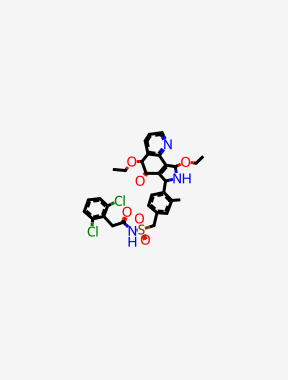 CCOC1NC(c2ccc(CS(=O)(=O)NC(=O)Cc3c(Cl)cccc3Cl)cc2C)C2=C1c1ncccc1C(OCC)C2=O